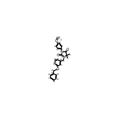 CC1(C)C(=O)N(c2ccc(OC(F)(F)F)cc2)C(=O)N1Cc1ccnc(OCc2ccccc2)c1